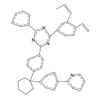 C=Cc1ccc(-c2nc(-c3ccccc3)nc(-c3ccc(C4(c5ccc(-c6ccccn6)cc5)CCCCC4)cc3)n2)cc1/C=C\C